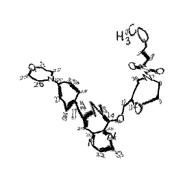 COCCS(=O)(=O)N1CCOC(COc2nc(-c3ccc(N4CCOCC4)cc3)cc3nccnc23)C1